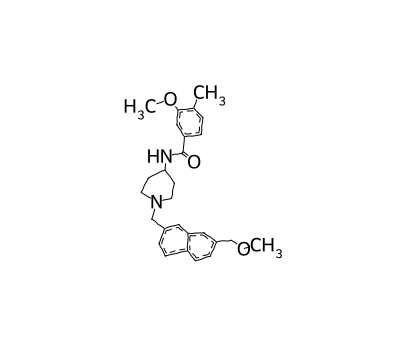 COCc1ccc2ccc(CN3CCC(NC(=O)c4ccc(C)c(OC)c4)CC3)cc2c1